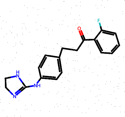 O=C(CCc1ccc(NC2=NCCN2)cc1)c1ccccc1F